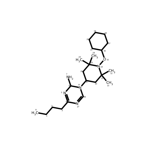 CCCCC1=NC(N)N(C2CC(C)(C)N(OC3CCCCC3)C(C)(C)C2)C=N1